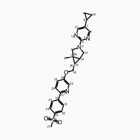 C[C@@]12CN(c3ncc(C4CC4)cn3)CC1[C@H]2COc1ccc(-c2ccc(S(C)(=O)=O)cc2)nc1